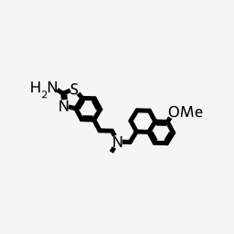 COc1cccc2c1CCCC2CN(C)CCc1ccc2sc(N)nc2c1